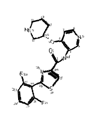 O=C(Nc1cnccc1O[C@H]1CCCNC1)c1csc(-c2c(F)cccc2F)n1